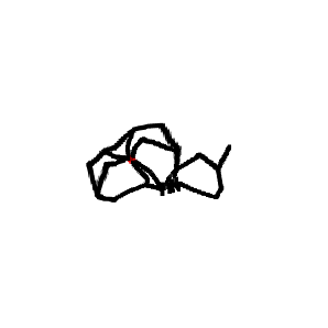 CC1CCNC2(C1)C1CC3C4CC5CC3C2C(C5)C4C1